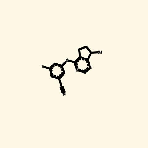 N#Cc1cc(F)cc(Oc2ncnc3c2CCC3O)c1